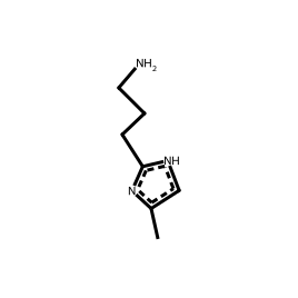 Cc1c[nH]c(CCCN)n1